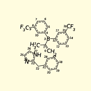 C=C(C)B(c1cccc(C(F)(F)F)c1)c1cccc(C(F)(F)F)c1.c1ccc(Cc2ncc[nH]2)cc1